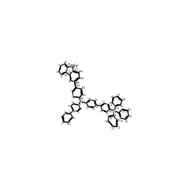 c1ccc(-c2ccc(N(c3ccc(-c4ccc([Si](c5ccccc5)(c5ccccc5)c5ccccc5)cc4)cc3)c3ccc(-c4ccc5[nH]c6ccccc6c5c4)cc3)cc2)cc1